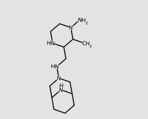 CC1C(CNN2CC3CCCC(C2)N3)NCCN1N